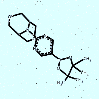 CC1(C)OB(c2cnc(N3C4COCC3COC4)nc2)OC1(C)C